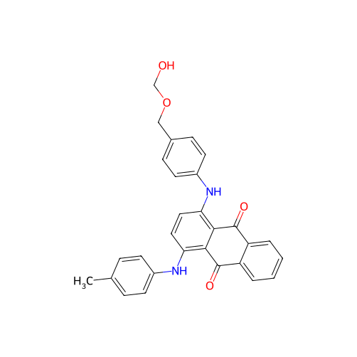 Cc1ccc(Nc2ccc(Nc3ccc(COCO)cc3)c3c2C(=O)c2ccccc2C3=O)cc1